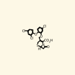 O=C(O)C1=C(COc2cc(Cl)ccc2Oc2ccc(Cl)cc2Cl)CS[C@H]2CC(=O)N12